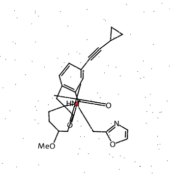 COC1CCC2(CC1)Cc1ccc(C#CC3CC3)cc1C21NC(=O)N(Cc2ncco2)C1=O